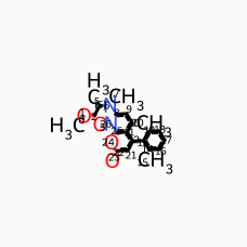 COC(=O)[C@H](C)N(C)c1ccc2c(-c3c(C)cccc3C)cc(=O)oc2n1